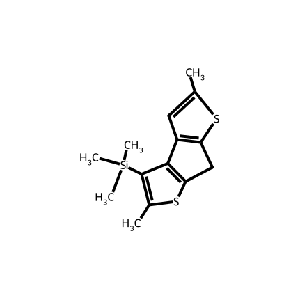 Cc1cc2c(s1)Cc1sc(C)c([Si](C)(C)C)c1-2